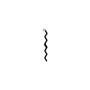 CCCCC=CCCCCl